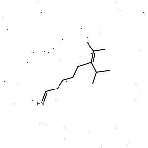 CC(C)=C(CCCCC=N)C(C)C